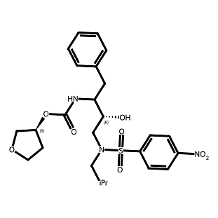 CC(C)CN(C[C@@H](O)C(Cc1ccccc1)NC(=O)O[C@H]1CCOC1)S(=O)(=O)c1ccc([N+](=O)[O-])cc1